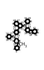 CC1(c2ccccc2)C=CC(N(c2ccccc2)c2ccc(-c3cc(N(c4ccccc4)c4ccc5sc6ccccc6c5c4)cc4ccccc34)cc2)=CC1